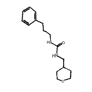 O=C(NCCCc1ccccc1)NCC1CCOCC1